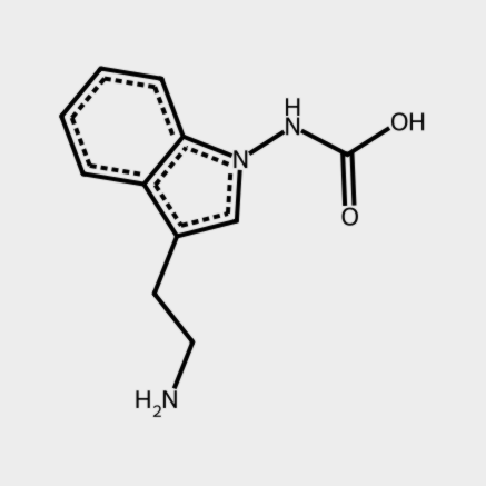 NCCc1cn(NC(=O)O)c2ccccc12